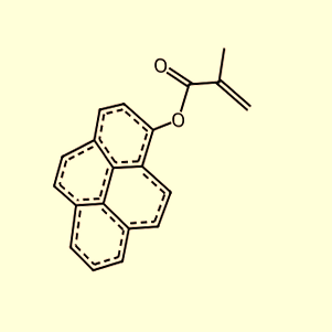 C=C(C)C(=O)Oc1ccc2ccc3cccc4ccc1c2c34